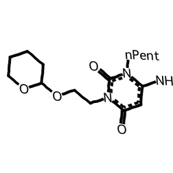 CCCCCn1c(N)cc(=O)n(CCOC2CCCCO2)c1=O